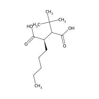 CCCCC[C@@H](C(=O)O)C(C(=O)O)C(C)(C)C